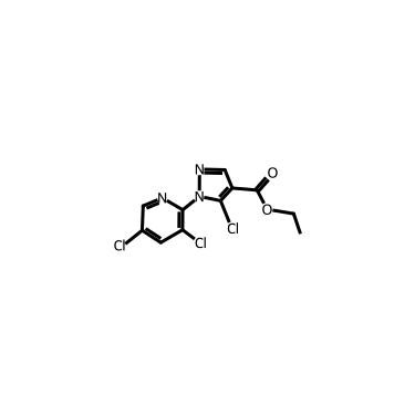 CCOC(=O)c1cnn(-c2ncc(Cl)cc2Cl)c1Cl